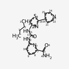 CCCC.NC(=O)c1cccc(NC(=O)Nc2csc(-c3ccncc3)n2)n1